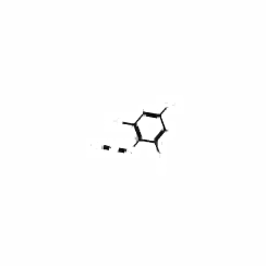 O=C=Nc1c(F)cc(Br)cc1F